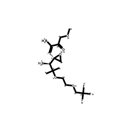 B/C(=C/[C@@]1([C@H](B)C(C)(C)OCCOCC(F)(F)F)CO1)C(=O)COC